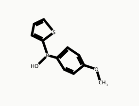 COc1ccc(B(O)c2cccs2)cc1